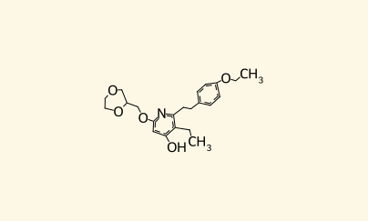 CCOc1ccc(CCc2nc(OCC3COCCO3)cc(O)c2CC)cc1